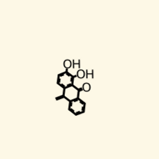 C=C1c2ccccc2C(=O)c2c1ccc(O)c2O